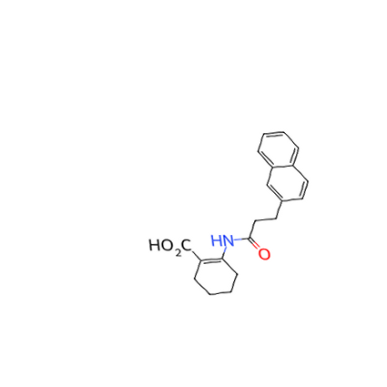 O=C(CCc1ccc2ccccc2c1)NC1=C(C(=O)O)CCCC1